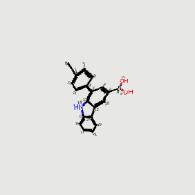 Cc1ccc(-c2cc(B(O)O)cc3c2[nH]c2ccccc23)cc1